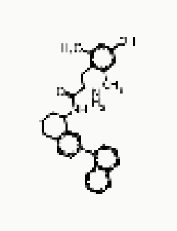 Cc1cc(O)cc(C)c1C[C@H](N)C(=O)N[C@@H]1CCCc2ccc(-c3cccc4ccccc34)cc21